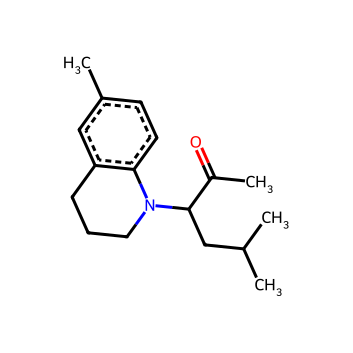 CC(=O)C(CC(C)C)N1CCCc2cc(C)ccc21